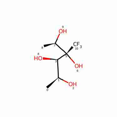 C[C@H](O)[C@@H](O)[C@@](O)([C@@H](C)O)C(F)(F)F